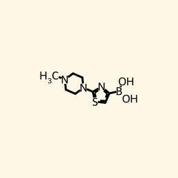 CN1CCN(c2nc(B(O)O)cs2)CC1